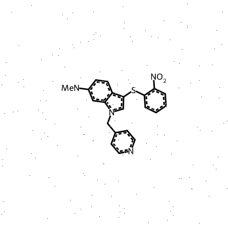 CNc1ccc2c(Sc3ccccc3[N+](=O)[O-])cn(Cc3ccncc3)c2c1